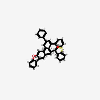 c1ccc(-c2cc(-c3ccccc3)c3c(-c4csc5ccccc45)cc4cc5c(cc4c3c2)oc2ccccc25)cc1